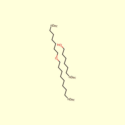 CCCCCCCCCCCCCCCCCCOCCCCCCCCCCCCCCCC.CCCCCCCCCCCCCCCCO